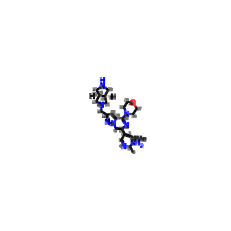 CN/C=C(\C=N/C(C)N)c1cn2nc(CN3C[C@H]4CNC[C@H]4C3)cc2c(N2CCOCC2)n1